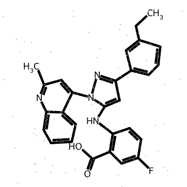 CCc1cccc(-c2cc(Nc3ccc(F)cc3C(=O)O)n(-c3cc(C)nc4ccccc34)n2)c1